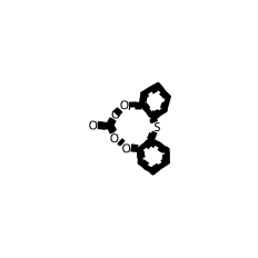 O=c1ooc2ccccc2sc2ccccc2oo1